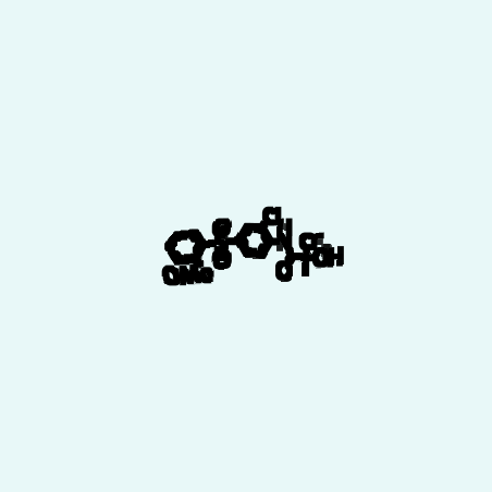 COc1ccccc1S(=O)(=O)c1ccc(NC(=O)[C@@](C)(O)C(F)(F)F)c(Cl)c1